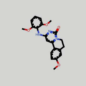 COc1ccc2c(c1)CCn1c-2cc(Nc2c(OC)cccc2OC)nc1=O